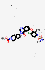 CCN(C)S(=O)(=O)Nc1ccc(F)c(Oc2ccc3ncn([C@H]4CCC5(CCN(C(=O)OC(C)(C)C)CC5)C4)c(=O)c3c2)c1C#N